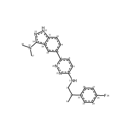 CC(CNc1ccc(-c2ccc3[nH]nc(N(C)C)c3c2)nn1)c1ccc(F)cc1